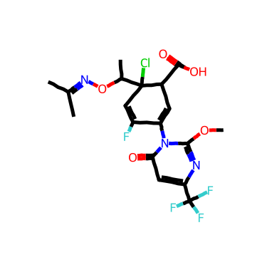 COc1nc(C(F)(F)F)cc(=O)n1C1=CC(C(=O)O)C(Cl)(C(C)ON=C(C)C)C=C1F